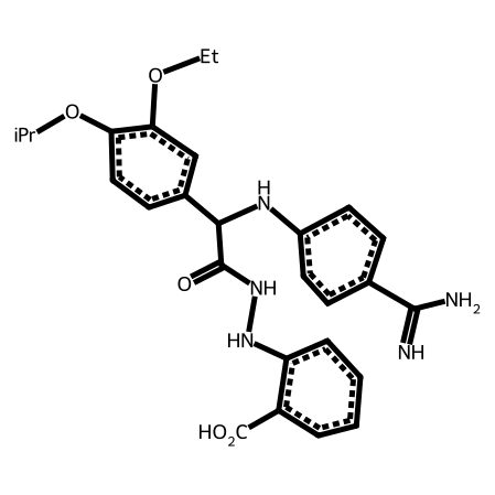 CCOc1cc(C(Nc2ccc(C(=N)N)cc2)C(=O)NNc2ccccc2C(=O)O)ccc1OC(C)C